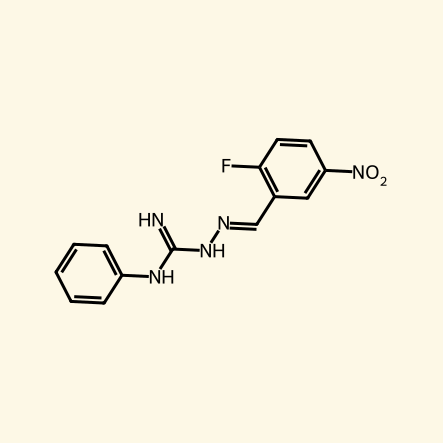 N=C(N/N=C/c1cc([N+](=O)[O-])ccc1F)Nc1ccccc1